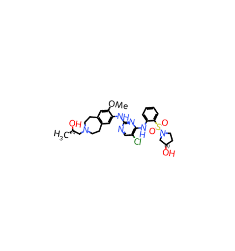 COc1cc2c(cc1Nc1ncc(Cl)c(Nc3ccccc3S(=O)(=O)N3CC[C@@H](O)C3)n1)CCN(C[C@@H](C)O)CC2